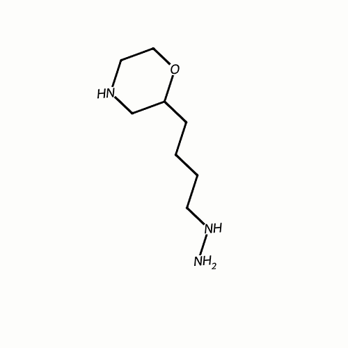 NNCCCCC1CNCCO1